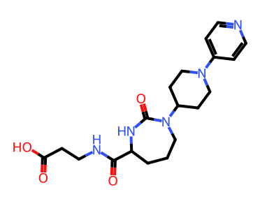 O=C(O)CCNC(=O)C1CCCN(C2CCN(c3ccncc3)CC2)C(=O)N1